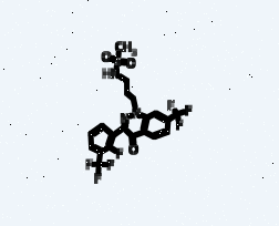 CS(=O)(=O)NCCCn1nc(-c2cccc(C(F)(F)F)c2F)c(=O)c2ccc(C(F)(F)F)cc21